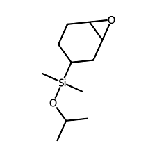 CC(C)O[Si](C)(C)C1CCC2OC2C1